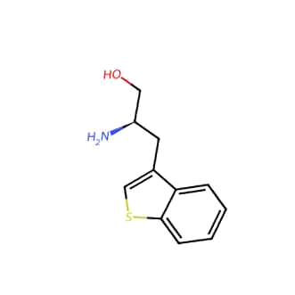 N[C@@H](CO)Cc1csc2ccccc12